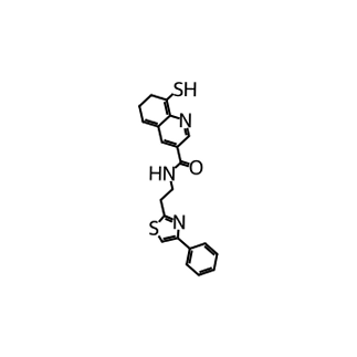 O=C(NCCc1nc(-c2ccccc2)cs1)c1cnc2c(c1)=CCCC=2S